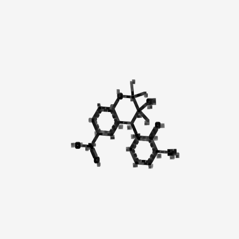 CC1(C)Oc2ccc([N+](=O)[O-])cc2C(n2cccc(N)c2=O)C1(C)O